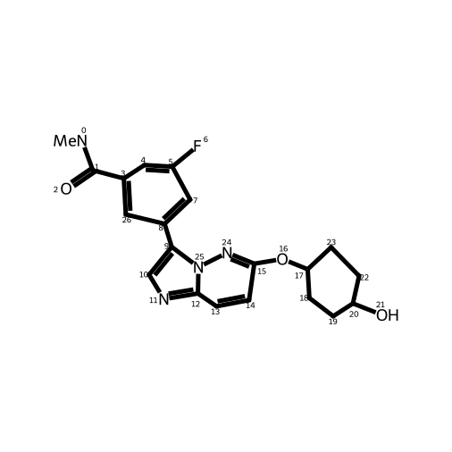 CNC(=O)c1cc(F)cc(-c2cnc3ccc(OC4CCC(O)CC4)nn23)c1